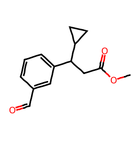 COC(=O)CC(c1cccc(C=O)c1)C1CC1